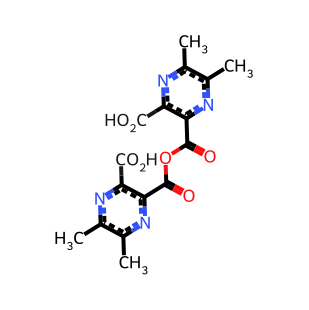 Cc1nc(C(=O)O)c(C(=O)OC(=O)c2nc(C)c(C)nc2C(=O)O)nc1C